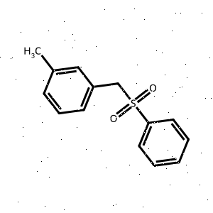 Cc1[c]c(CS(=O)(=O)c2ccccc2)ccc1